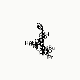 CCCCN1C(=O)[C@H](CC(C)C)NC(=O)C12CCN(C(c1ccc(S(=O)(=O)NCCN3CCOCC3)cc1)c1c(C)n[nH]c1C)CC2.Cl